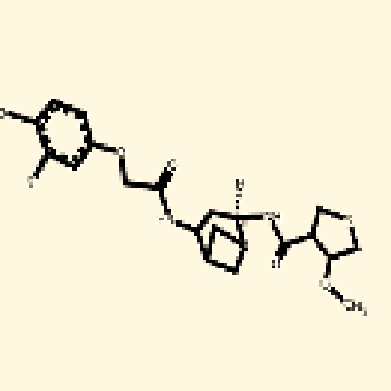 COC1CSCC1C(=O)N[C@@H]1CC(NC(=O)COc2ccc(Cl)c(F)c2)C2CC1C2